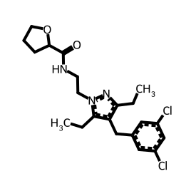 CCc1nn(CCNC(=O)C2CCCO2)c(CC)c1Cc1cc(Cl)cc(Cl)c1